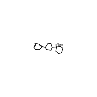 CCCCCCCCCC1(C2CCC(c3c[c]ccc3)CC2)CCCCC1